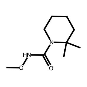 CONC(=O)N1CCCCC1(C)C